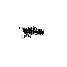 CCON=C(C(=O)N[C@@H]1C(=O)N2C(C(=O)O)=C(CSc3ccc4nnnn4n3)CS[C@@H]12)c1csc(=N)n1O